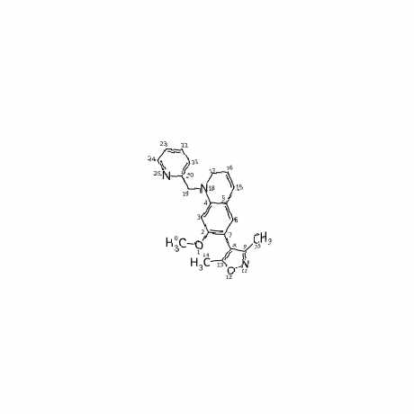 COc1cc2c(cc1-c1c(C)noc1C)C=CCN2Cc1ccccn1